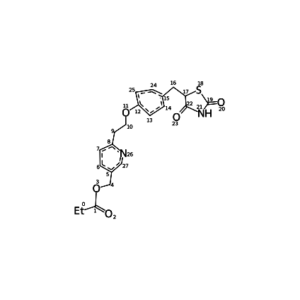 CCC(=O)OCc1ccc(CCOc2ccc(CC3SC(=O)NC3=O)cc2)nc1